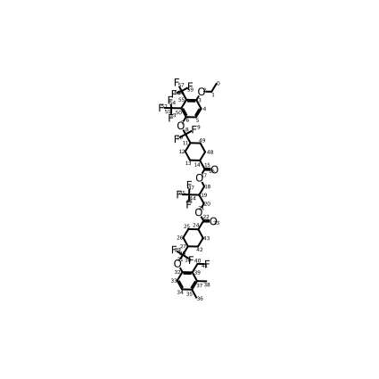 CCOc1ccc(OC(F)(F)C2CCC(C(=O)OCC(COC(=O)C3CCC(C(F)(F)Oc4ccc(C)c(C)c4CF)CC3)C(F)(F)F)CC2)c(C(F)(F)F)c1C(F)(F)F